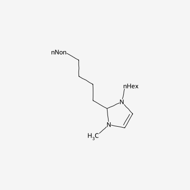 CCCCCCCCCCCCCC1N(C)C=CN1CCCCCC